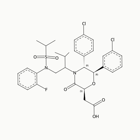 CC(C)C(CN(c1ccccc1F)S(=O)(=O)C(C)C)N1C(=O)[C@H](CC(=O)O)O[C@H](c2cccc(Cl)c2)[C@H]1c1ccc(Cl)cc1